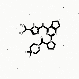 CC(C)c1cnc(Nc2nc(N3CCCC3C(=O)N3CCC(F)(F)CC3)nc3c2CCC3)[nH]1